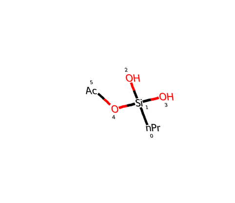 CCC[Si](O)(O)OC(C)=O